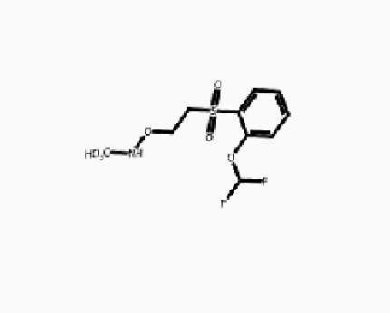 O=C(O)NOCCS(=O)(=O)c1ccccc1OC(F)F